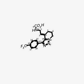 O=C(O)NCC=C1CCCn2nnc(-c3ccc(C(F)(F)F)cc3)c21